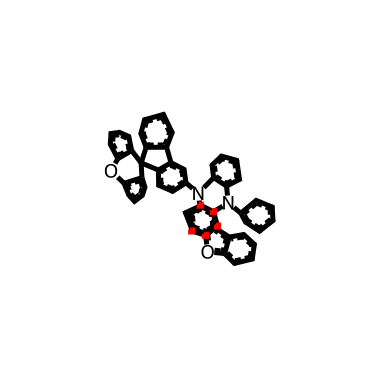 c1ccc(N(c2ccccc2)c2ccccc2N(c2ccc3c(c2)-c2ccccc2C32c3ccccc3Oc3ccccc32)c2ccc3oc4ccccc4c3c2)cc1